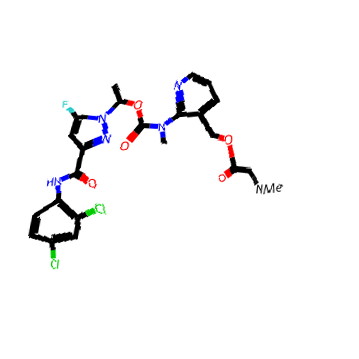 CNCC(=O)OCc1cccnc1N(C)C(=O)OC(C)n1nc(C(=O)Nc2ccc(Cl)cc2Cl)cc1F